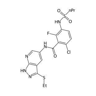 CCCS(=O)(=O)Nc1ccc(Cl)c(C(=O)Nc2cnc3[nH]nc(SCC)c3c2)c1F